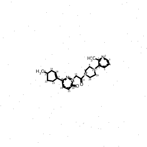 Cc1ncccc1N1CCN(C(=O)Cn2nc(C3=CCC(C)CC3)ccc2=O)CC1